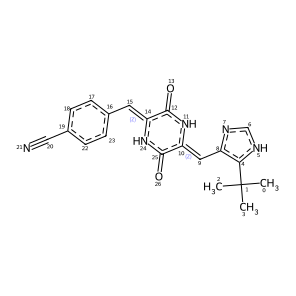 CC(C)(C)c1[nH]cnc1/C=c1\[nH]c(=O)/c(=C/c2ccc(C#N)cc2)[nH]c1=O